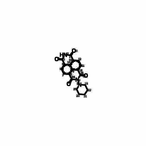 O=C1NC(=O)c2ccc3c4c(ccc1c24)C(=O)N(N1CCCCC1)C3=O